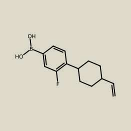 C=CC1CCC(c2ccc(B(O)O)cc2F)CC1